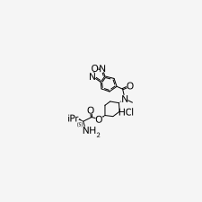 CC(C)[C@H](N)C(=O)O[C@H]1CC[C@H](N(C)C(=O)c2ccc3nonc3c2)CC1.Cl